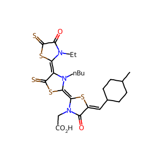 CCCCn1/c(=c2\sc(=CC3CCC(C)CC3)c(=O)n2CC(=O)O)sc(=S)/c1=C1\SC(=S)C(=O)N1CC